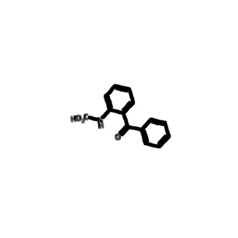 O=C(O)Nc1ccccc1C(=O)c1ccccc1